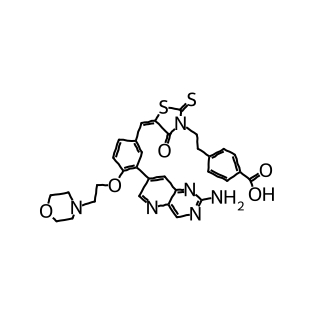 Nc1ncc2ncc(-c3cc(C=C4SC(=S)N(CCc5ccc(C(=O)O)cc5)C4=O)ccc3OCCN3CCOCC3)cc2n1